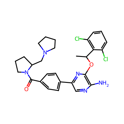 CC(Oc1nc(-c2ccc(C(=O)N3CCCC3CN3CCCC3)cc2)cnc1N)c1c(Cl)cccc1Cl